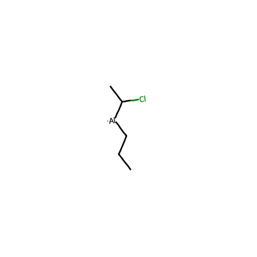 CC[CH2][Al][CH](C)Cl